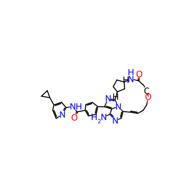 Nc1ncc2n3c(nc(-c4ccc(C(=O)Nc5cc(C6CC6)ccn5)cc4)c13)[C@@H]1CC[C@H](C1)NC(=O)CCOCC/C=C/2